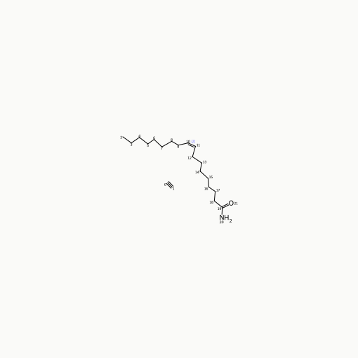 C#C.CCCCCCCC/C=C\CCCCCCCC(N)=O